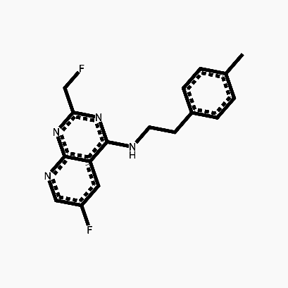 Cc1ccc(CCNc2nc(CF)nc3ncc(F)cc23)cc1